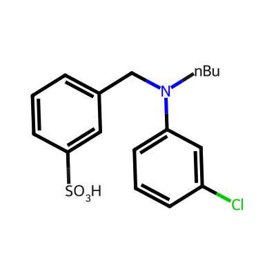 CCCCN(Cc1cccc(S(=O)(=O)O)c1)c1cccc(Cl)c1